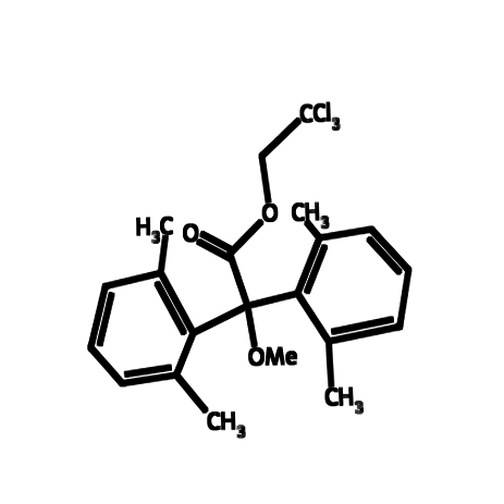 COC(C(=O)OCC(Cl)(Cl)Cl)(c1c(C)cccc1C)c1c(C)cccc1C